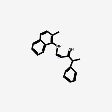 Cc1ccc2ccccc2c1N/C=C\C(=N)C(C)c1ccccc1